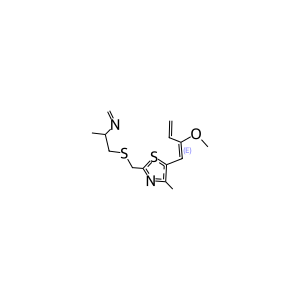 C=C/C(=C\c1sc(CSCC(C)N=C)nc1C)OC